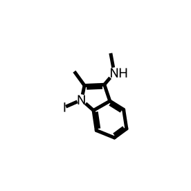 CNc1c(C)n(I)c2ccccc12